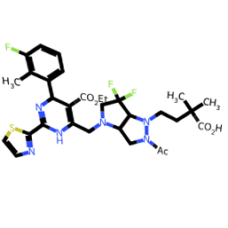 CCOC(=O)C1=C(CN2CC(F)(F)C3C2CN(C(C)=O)N3CCC(C)(C)C(=O)O)NC(c2nccs2)=NC1c1cccc(F)c1C